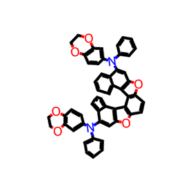 c1ccc(N(c2ccc3c(c2)OCCO3)c2cc3oc4ccc5oc6cc(N(c7ccccc7)c7ccc8c(c7)OCCO8)c7ccccc7c6c5c4c3c3ccccc23)cc1